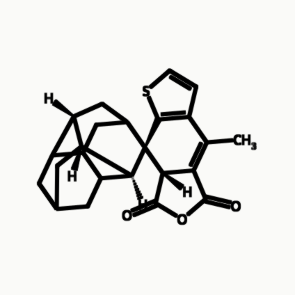 CC1=C2C(=O)OC(=O)[C@@H]2[C@@]2(c3sccc31)C1CC3C4CC5CC3[C@H]2[C@H](C5)[C@H]4C1